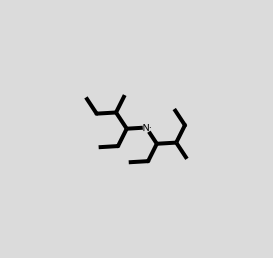 CCC(C)C(CC)[N]C(CC)C(C)CC